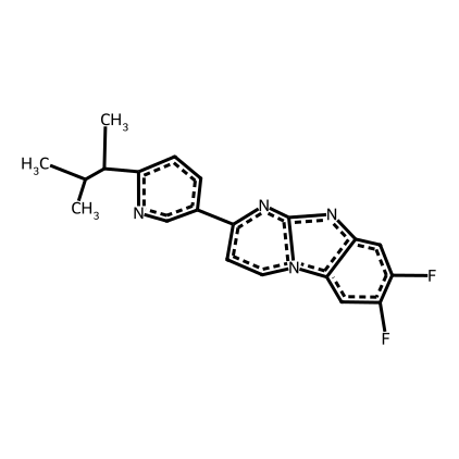 CC(C)C(C)c1ccc(-c2ccn3c(n2)nc2cc(F)c(F)cc23)cn1